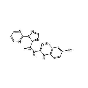 CC(C)c1ccc(NC(=O)N[C@@H](C)c2ncnn2-c2ncccn2)c(Br)c1